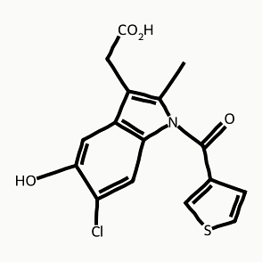 Cc1c(CC(=O)O)c2cc(O)c(Cl)cc2n1C(=O)c1ccsc1